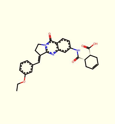 CCOc1cccc(C=C2CCn3c2nc2cc(NC(=O)[C@H]4CC=CC[C@H]4C(=O)O)ccc2c3=O)c1